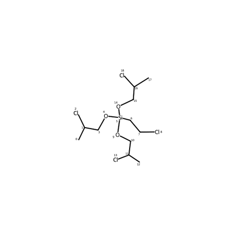 CC(Cl)CO[Si](CCCl)(OCC(C)Cl)OCC(C)Cl